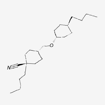 CCCC[C@H]1CC[C@H](OC[C@H]2CC[C@@](C#N)(CCCC)CC2)CC1